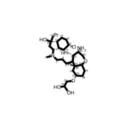 CCC[C@H]1C(CCCN(C)CCC(O)(C(C)C)[C@H]2CC[C@@H](Cl)CC2)[C@H]2C[C@@H](OCC(O)O)CCC2OC[C@H]1N